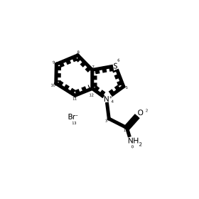 NC(=O)C[n+]1csc2ccccc21.[Br-]